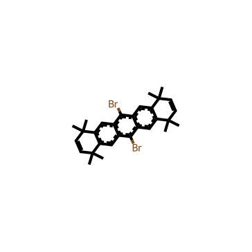 CC1(C)C=CC(C)(C)c2cc3c(Br)c4cc5c(cc4c(Br)c3cc21)C(C)(C)C=CC5(C)C